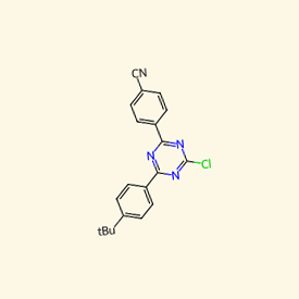 CC(C)(C)c1ccc(-c2nc(Cl)nc(-c3ccc(C#N)cc3)n2)cc1